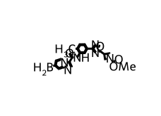 Bc1ccn2c(C(=O)Nc3cc(-c4noc(C5CN(C(=O)OC)C5)n4)ccc3C)cnc2c1